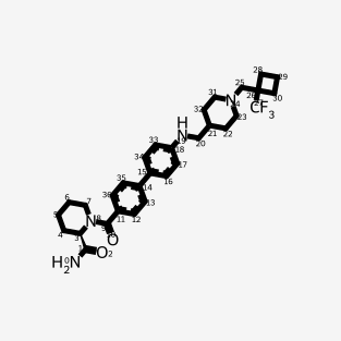 NC(=O)[C@H]1CCCCN1C(=O)c1ccc(-c2ccc(NCC3CCN(CC4(C(F)(F)F)CCC4)CC3)cc2)cc1